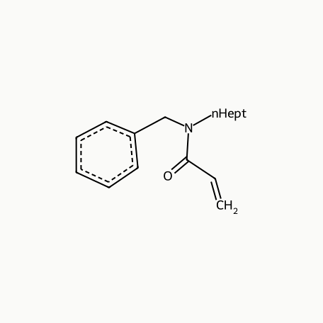 C=CC(=O)N(CCCCCCC)Cc1ccccc1